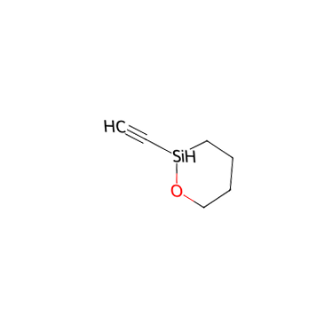 C#C[SiH]1CCCCO1